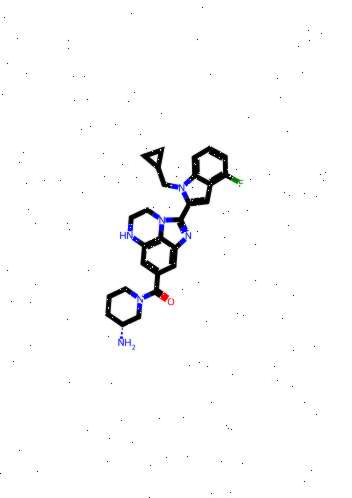 N[C@@H]1CCCN(C(=O)c2cc3c4c(c2)nc(-c2cc5c(F)cccc5n2CC2CC2)n4CCN3)C1